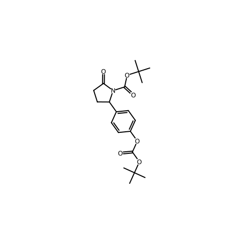 CC(C)(C)OC(=O)Oc1ccc(C2CCC(=O)N2C(=O)OC(C)(C)C)cc1